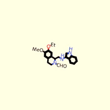 CCOc1cc2c(cc1OC)CCN(C=O)C2CNc1c[nH]c2ccccc12